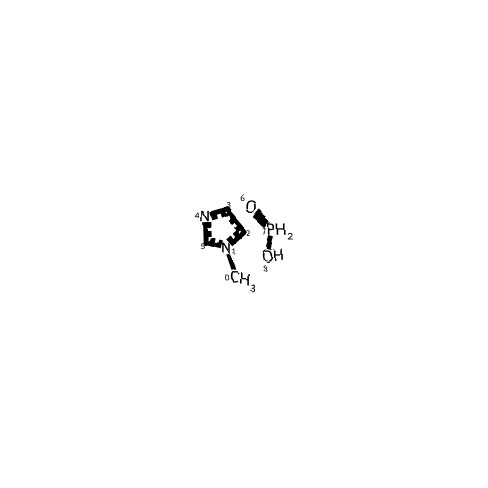 Cn1ccnc1.O=[PH2]O